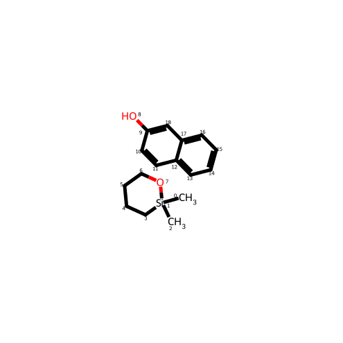 C[Si]1(C)CCCCO1.Oc1ccc2ccccc2c1